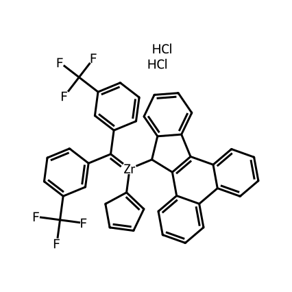 Cl.Cl.FC(F)(F)c1cccc([C](c2cccc(C(F)(F)F)c2)=[Zr]([C]2=CC=CC2)[CH]2c3ccccc3-c3c2c2ccccc2c2ccccc32)c1